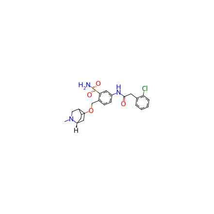 CN1CC2CC[C@H]1CC2OCc1ccc(NC(=O)Cc2ccccc2Cl)cc1S(N)(=O)=O